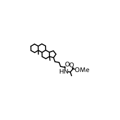 COC(=O)C(C)NC(=O)CCCC1CCC2C3CCC4CCCCC4(C)C3CCC12C